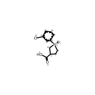 O=C(O)C1CC[N+]([O-])(c2cccc(Cl)c2)C1